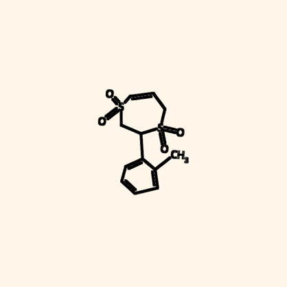 Cc1ccccc1C1CS(=O)(=O)C=CCS1(=O)=O